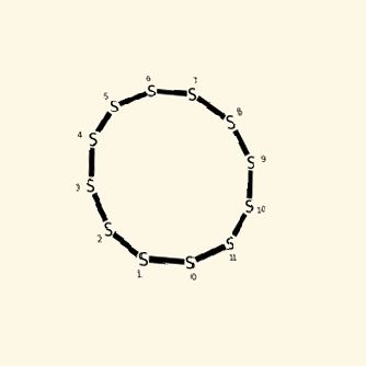 S1SSSSSSSSSSS1